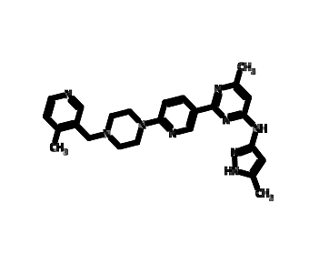 Cc1cc(Nc2cc(C)[nH]n2)nc(-c2ccc(N3CCN(Cc4cnccc4C)CC3)nc2)n1